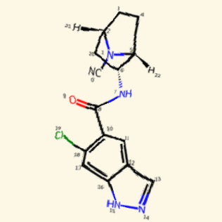 N#CN1[C@H]2CC[C@@H]1[C@H](NC(=O)c1cc3cn[nH]c3cc1Cl)C2